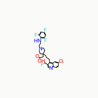 COc1ccc2ncc(CF)c(CCCC3(CC(=O)O)CCN(CCNc4c(F)cc(F)cc4F)CC3)c2c1